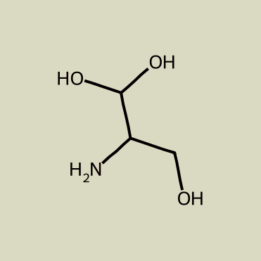 NC(CO)C(O)O